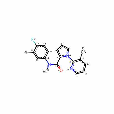 CCN(C(=O)c1cccn1-c1ncccc1C#N)c1ccc(F)c(C)c1